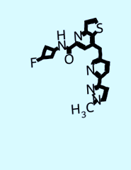 Cn1ccc(-c2ccc(Cc3cc(C(=O)NC4CC(F)C4)nc4ccsc34)cn2)n1